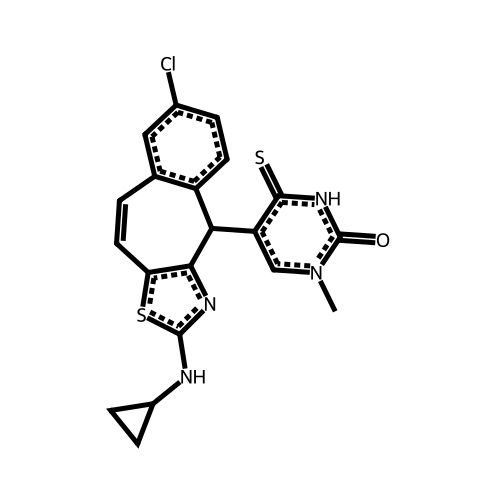 Cn1cc(C2c3ccc(Cl)cc3C=Cc3sc(NC4CC4)nc32)c(=S)[nH]c1=O